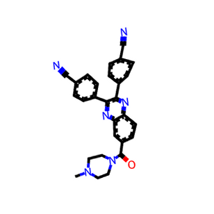 CN1CCN(C(=O)c2ccc3nc(-c4ccc(C#N)cc4)c(-c4ccc(C#N)cc4)nc3c2)CC1